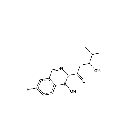 CC(C)C(O)CC(=O)N1N=Cc2cc(I)ccc2B1O